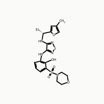 CC[C@@H](Nc1nsnc1Nc1cccc(S(=O)(=O)N2CCOCC2)c1O)c1cc(C)co1